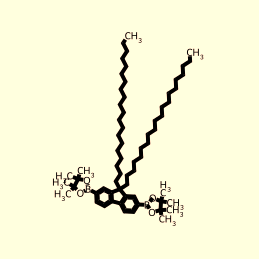 CCCCCCCCCCCCCCCCCCCCC1(CCCCCCCCCCCCCCCCCCCC)c2cc(B3OC(C)(C)C(C)(C)O3)ccc2-c2ccc(B3OC(C)(C)C(C)(C)O3)cc21